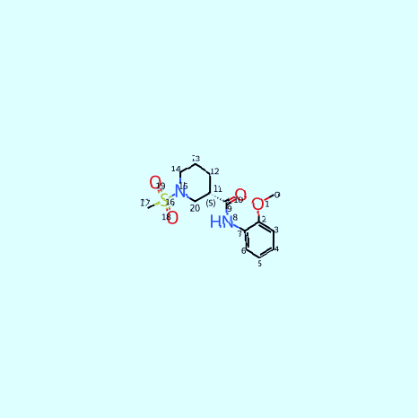 COc1ccccc1NC(=O)[C@H]1CCCN(S(C)(=O)=O)C1